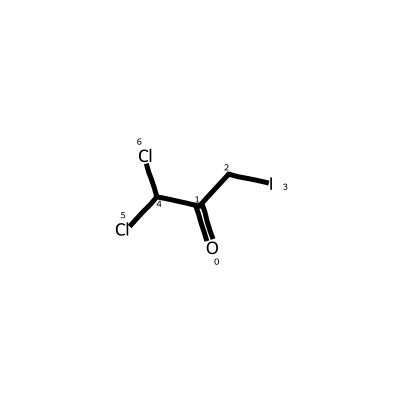 O=C(CI)C(Cl)Cl